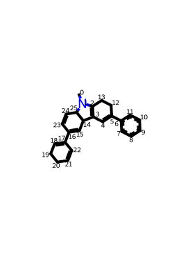 CN1C2=C(C=C(c3ccccc3)CC2)C2C=C(C3=CCCC=C3)C=CC21